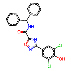 O=C(NC(c1ccccc1)c1ccccc1)c1nc(-c2cc(Cl)c(O)c(Cl)c2)no1